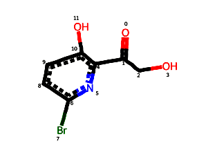 O=C(CO)c1nc(Br)ccc1O